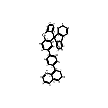 C1=CC2=C(CC1)C1(c3ccccc3Oc3ccc(-c4ccc(C5=c6ncccc6=CCC5)cc4)cc31)c1ccccc12